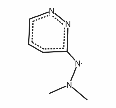 CN(C)[N]c1cccnn1